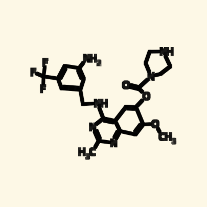 COc1cc2nc(C)nc(NCc3cc(N)cc(C(F)(F)F)c3)c2cc1OC(=O)N1CCNCC1